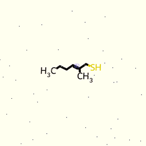 CCC/C=C(\C)CS